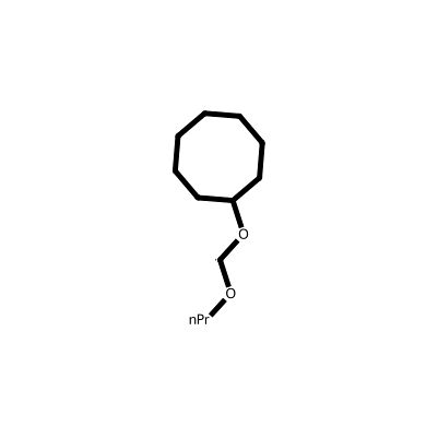 CCCO[CH]OC1CCCCCCC1